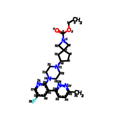 CCOC(=O)N1CC2(CC[C@@H](N3CCN(c4ncc(F)cc4-c4ccc(C)nn4)CC3)C2)C1